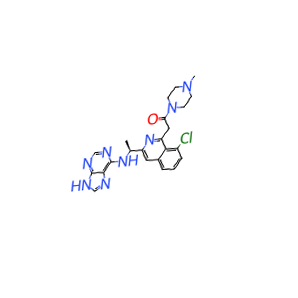 C[C@H](Nc1ncnc2[nH]cnc12)c1cc2cccc(Cl)c2c(CC(=O)N2CCN(C)CC2)n1